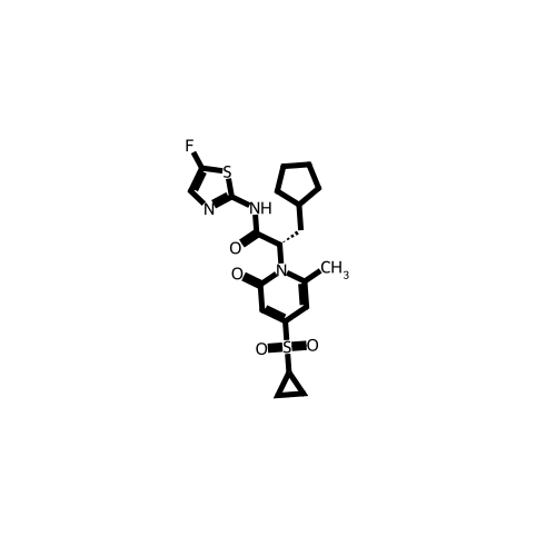 Cc1cc(S(=O)(=O)C2CC2)cc(=O)n1[C@@H](CC1CCCC1)C(=O)Nc1ncc(F)s1